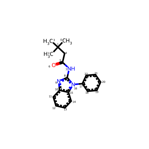 CC(C)(C)CC(=O)Nc1nc2ccccc2n1-c1ccccc1